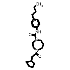 CCCCc1ccc(NC(=O)N2CCCN(C(=O)CC3CCCC3)CC2)cc1